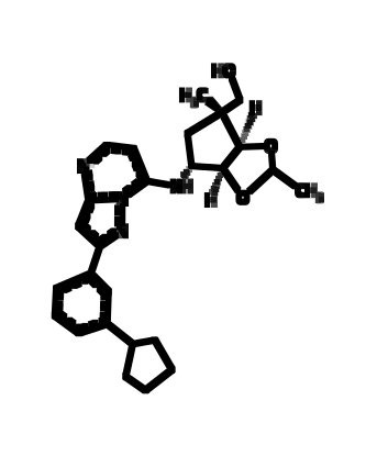 CC1O[C@H]2[C@H](Nc3ccnc4cc(-c5cccc(C6CCCC6)c5)nn34)C[C@](C)(CO)[C@H]2O1